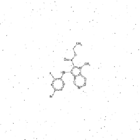 CCOC(=O)c1c(Nc2ccc(Br)cc2F)c2cnccc2n1C